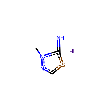 Cn1ncsc1=N.I